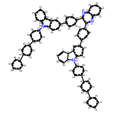 C1=CC2c3cc(-c4ccc(-c5nc6ccccc6nc5-c5ccc(-c6ccc7c(c6)c6ccccc6n7-c6ccc(-c7ccc(-c8ccccc8)cc7)cc6)cc5)cc4)ccc3N(c3ccc(-c4ccc(-c5ccccc5)cc4)cc3)C2C=C1